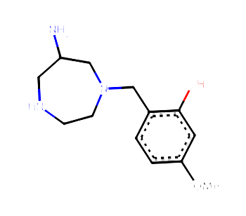 COc1ccc(CN2CCNCC(N)C2)c(O)c1